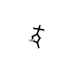 CC1CC(C(C)(C)C)CN1